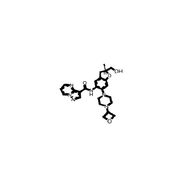 C[C@]1(CO)Cc2cc(NC(=O)c3cnn4cccnc34)c(N3CCN(C4COC4)CC3)cc2O1